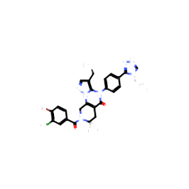 CC(C)Cc1cnn2c3c(c(=O)n(-c4ccc(-c5nncn5C)cc4)c12)C[C@H](C)N(C(=O)c1ccc(Br)c(Cl)c1)C3